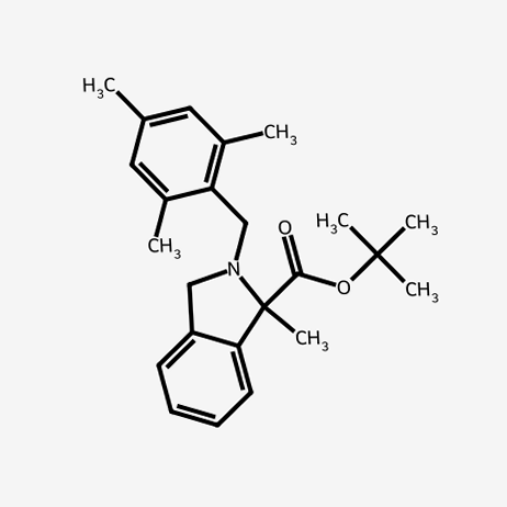 Cc1cc(C)c(CN2Cc3ccccc3C2(C)C(=O)OC(C)(C)C)c(C)c1